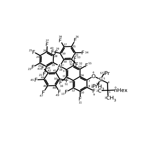 CCCCCCC(C)(C)C[Si](Oc1c(F)c(F)c(F)c2c(F)[c]([Al-]([c]3c(F)c(F)c(F)c(F)c3F)([c]3c(F)c(F)c(F)c(F)c3F)[c]3c(F)c(F)c(F)c(F)c3F)c(F)c(F)c12)(C(C)C)C(C)C